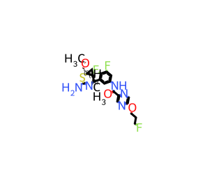 COC[C@]12C[C@H]1[C@](C)(c1cc(NC(=O)c3cnc(OCCCF)cn3)cc(F)c1F)N=C(N)S2